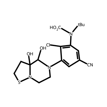 CC(C)(C)N(C(=O)O)c1cc(C#N)cc(N2CCN3SCCC3(O)C2O)c1Cl